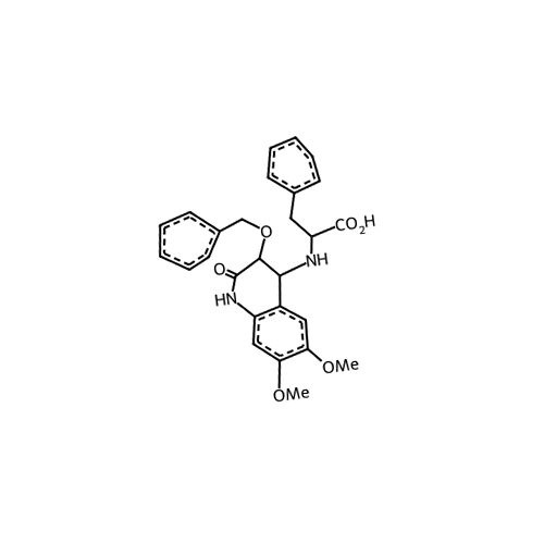 COc1cc2c(cc1OC)C(NC(Cc1ccccc1)C(=O)O)C(OCc1ccccc1)C(=O)N2